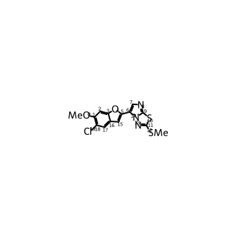 COc1cc2oc(-c3cnc4sc(SC)nn34)cc2cc1Cl